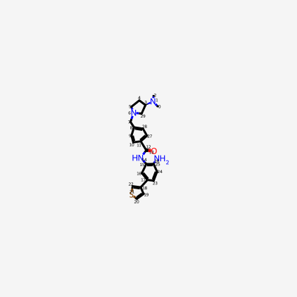 CN(C)[C@@H]1CCN(Cc2ccc(C(=O)Nc3cc(-c4ccsc4)ccc3N)cc2)C1